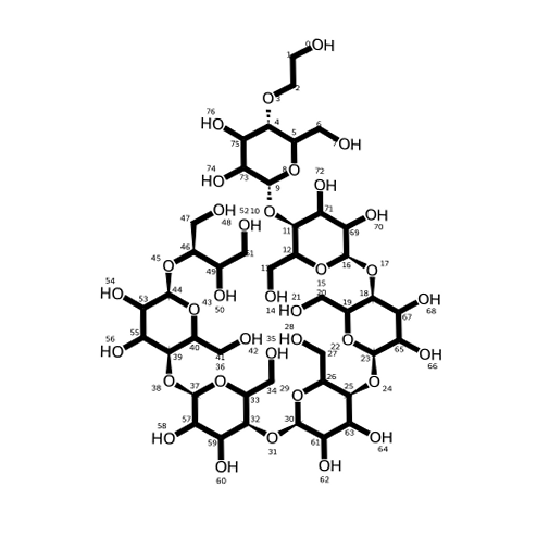 OCCO[C@@H]1C(CO)O[C@H](O[C@@H]2C(CO)O[C@H](O[C@@H]3C(CO)O[C@H](O[C@@H]4C(CO)O[C@H](O[C@@H]5C(CO)O[C@H](O[C@@H]6C(CO)O[C@H](O[C@@H](CO)C(O)CO)C(O)C6O)C(O)C5O)C(O)C4O)C(O)C3O)C(O)C2O)C(O)C1O